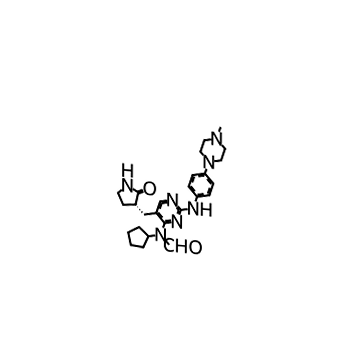 CN1CCN(c2ccc(Nc3ncc(C[C@@H]4CCNC4=O)c(N(C=O)C4CCCC4)n3)cc2)CC1